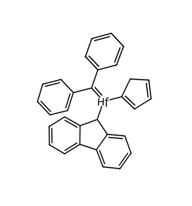 C1=CC[C]([Hf](=[C](c2ccccc2)c2ccccc2)[CH]2c3ccccc3-c3ccccc32)=C1